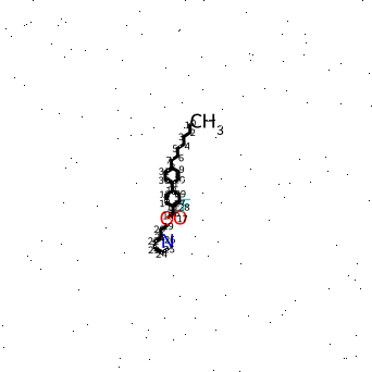 CCCCCCCCc1ccc(-c2ccc(C(=O)OCCc3ccccn3)c(F)c2)cc1